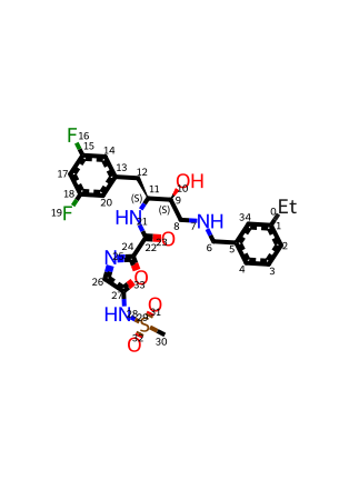 CCc1cccc(CNC[C@H](O)[C@H](Cc2cc(F)cc(F)c2)NC(=O)c2ncc(NS(C)(=O)=O)o2)c1